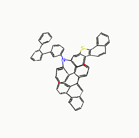 c1ccc(-c2ccccc2-c2cccc(N(c3ccc4c(c3)sc3c5ccccc5ccc43)c3ccccc3-c3ccccc3-c3cc4ccccc4c4ccccc34)c2)cc1